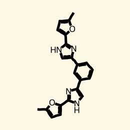 Cc1ccc(-c2nc(-c3cccc(-c4c[nH]c(-c5ccc(C)o5)n4)c3)c[nH]2)o1